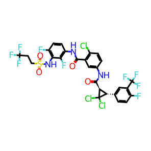 O=C(Nc1ccc(F)c(NS(=O)(=O)CCC(F)(F)F)c1F)c1cc(NC(=O)[C@H]2[C@H](c3ccc(F)c(C(F)(F)F)c3)C2(Cl)Cl)ccc1Cl